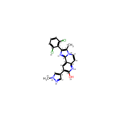 Cc1c(-c2c(Cl)cccc2Cl)nc2c3cc(-c4cnn(C)c4)c(O)nc3ccn12